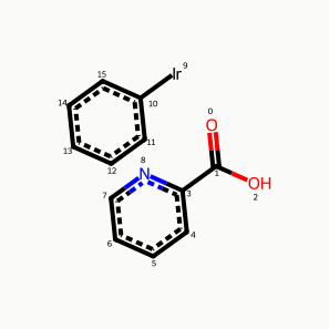 O=C(O)c1ccccn1.[Ir][c]1ccccc1